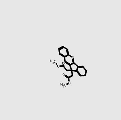 COC(=O)CC1(CC(=O)OC)C2=CCCC=C2c2nc3ccccc3cc21